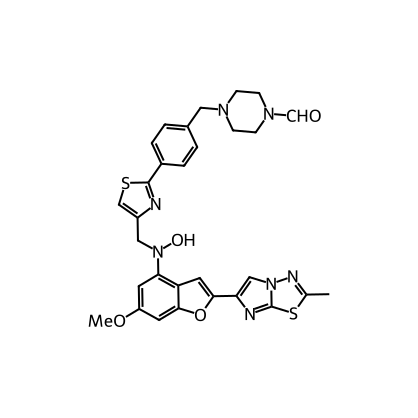 COc1cc(N(O)Cc2csc(-c3ccc(CN4CCN(C=O)CC4)cc3)n2)c2cc(-c3cn4nc(C)sc4n3)oc2c1